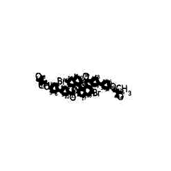 CC1(COc2ccc(-c3ccc(C(=O)Oc4ccc5cc(Br)ccc5c4-c4c(OC(=O)c5ccc(-c6ccc(OCC7(C)COC7)cc6)cc5)ccc5cc(Br)ccc45)cc3)cc2)COC1